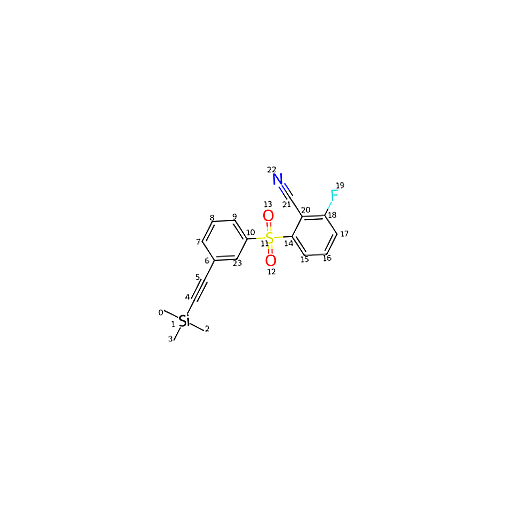 C[Si](C)(C)C#Cc1cccc(S(=O)(=O)c2cccc(F)c2C#N)c1